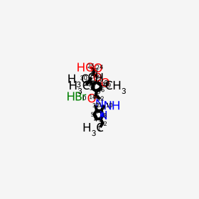 Br.CCc1ccc2c(n1)C(=N)N(CC(=O)c1cc(OC)c(OCC(=O)O)c(C(C)(C)C)c1)C2